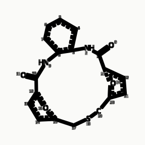 O=C1Nc2ccccc2NC(=O)c2ccc(o2)CSCc2ccc1o2